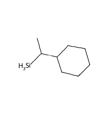 CC([SiH3])C1CCCCC1